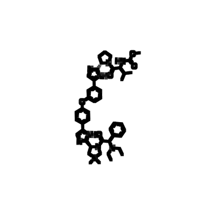 CCN(CC)[C@@H](C(=O)N1C[Si](C)(C)C[C@H]1c1ncc(-c2ccc(Oc3cccc(-c4cnc([C@@H]5CCCN5C(=O)[C@@H](NC(=O)OC)C(C)C)[nH]4)c3)cc2)[nH]1)c1ccccc1